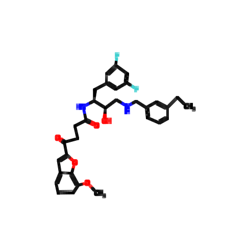 CCc1cccc(CNC[C@@H](O)[C@H](Cc2cc(F)cc(F)c2)NC(=O)CCC(=O)c2cc3cccc(OC)c3o2)c1